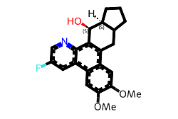 COc1cc2c3c(c4ncc(F)cc4c2cc1OC)[C@@H](O)[C@H]1CCCC1C3